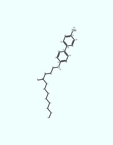 CCCCCCCCC(C)CCCOc1ccc(-c2ccc(O)cc2)cc1